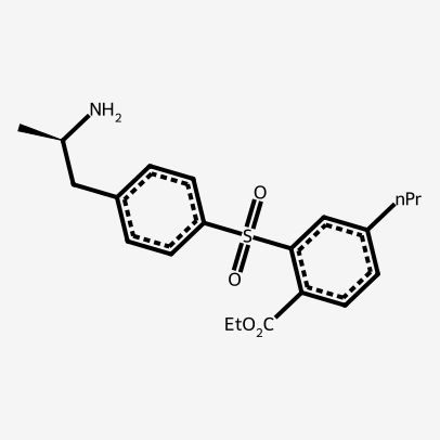 CCCc1ccc(C(=O)OCC)c(S(=O)(=O)c2ccc(C[C@@H](C)N)cc2)c1